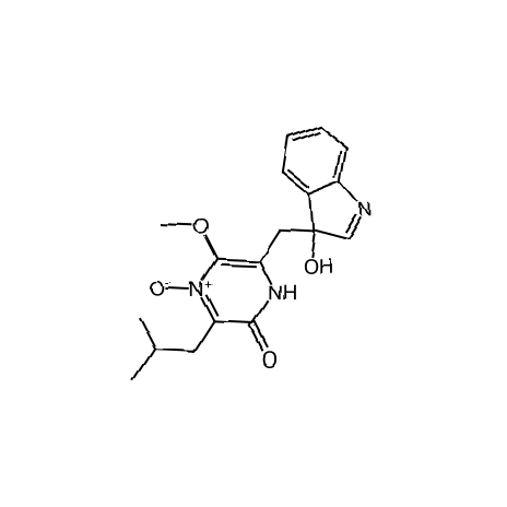 COc1c(CC2(O)C=Nc3ccccc32)[nH]c(=O)c(CC(C)C)[n+]1[O-]